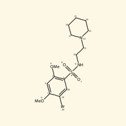 COc1cc(OC)c(S(=O)(=O)NCCN2CCCCC2)cc1Br